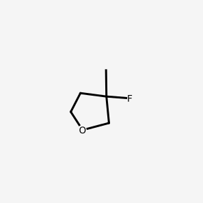 CC1(F)CCOC1